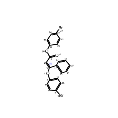 O=C(/C=C(/Oc1ccc(Br)cc1)c1ccccc1)Oc1ccc(Br)cc1